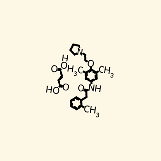 Cc1ccccc1CC(=O)Nc1cc(C)c(OCCN2CCCC2)c(C)c1.O=C(O)/C=C/C(=O)O